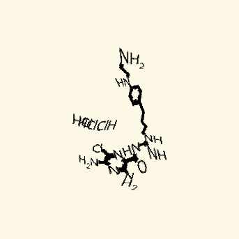 Cl.Cl.Cl.N=C(NCCCCc1ccc(NCCN)cc1)NC(=O)c1nc(Cl)c(N)nc1N